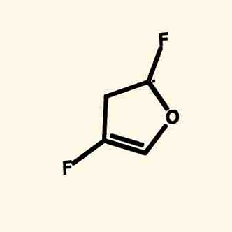 F[C]1CC(F)=CO1